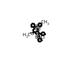 CCOC1=C2CN(S(=O)(=O)c3ccccc3Cl)C(c3ccccc3)C[C@@H]2N(S(=O)(=O)c2ccc(C)cc2)C(c2ccccc2)C1